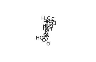 Cc1[nH]c(C(=O)N[C@H]2[C@@H]3CN(c4nc(CCC5CCCC5)c(C(=O)O)s4)C[C@@H]32)c(Cl)c1Cl